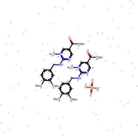 COC(=O)c1cnc(NCc2ccc(OC)c(OC)c2)[n+](C)c1.COC(=O)c1cnc(NCc2ccc(OC)c(OC)c2)[n+](C)c1.O=S(=O)([O-])[O-]